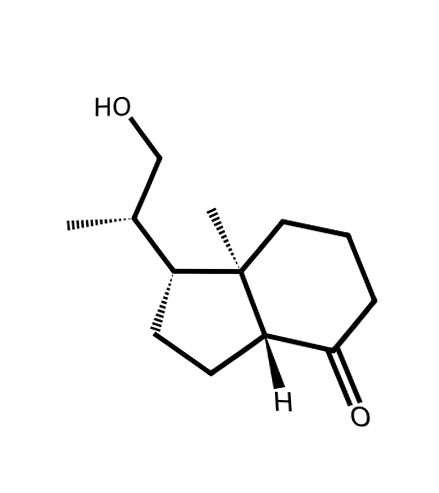 C[C@H](CO)[C@H]1CC[C@H]2C(=O)CCC[C@]12C